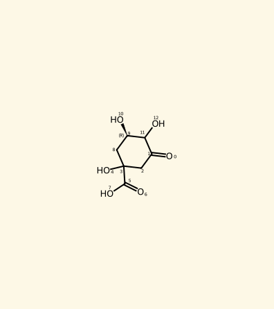 O=C1CC(O)(C(=O)O)C[C@@H](O)C1O